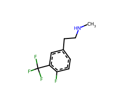 CNCCc1ccc(F)c(C(F)(F)F)c1